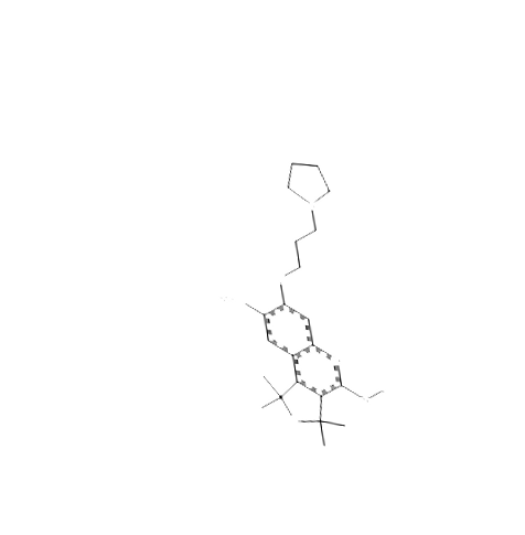 CCNc1nc2cc(OCCCN3CCCC3)c(OC)cc2c2c1C(C)(C)OC2(C)C